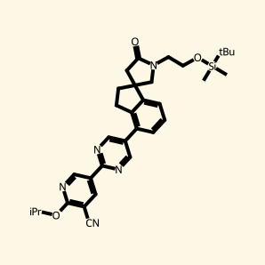 CC(C)Oc1ncc(-c2ncc(-c3cccc4c3CCC43CC(=O)N(CCO[Si](C)(C)C(C)(C)C)C3)cn2)cc1C#N